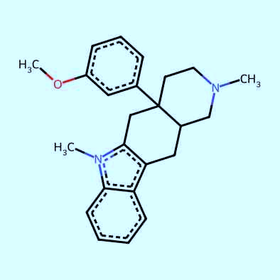 COc1cccc(C23CCN(C)CC2Cc2c(n(C)c4ccccc24)C3)c1